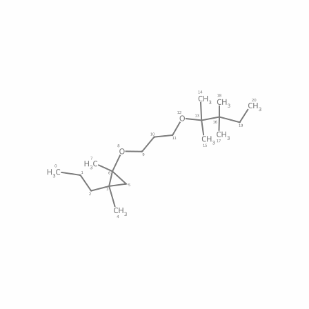 CCCC1(C)CC1(C)OCCCOC(C)(C)C(C)(C)CC